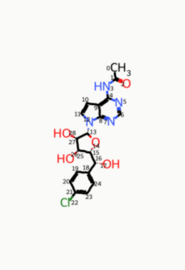 CC(=O)Nc1ncnc2c1ccn2[C@@H]1O[C@H]([C@H](O)c2ccc(Cl)cc2)[C@@H](O)[C@H]1O